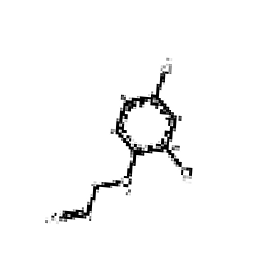 O=[C]COc1ccc(Cl)cc1Cl